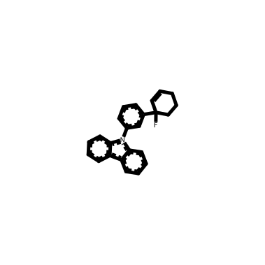 FC1(c2cccc(-n3c4ccccc4c4ccccc43)c2)C=CCCC1